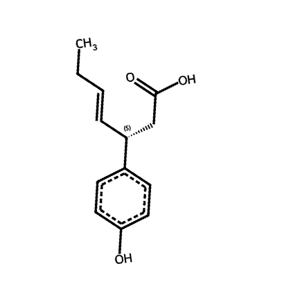 CCC=C[C@H](CC(=O)O)c1ccc(O)cc1